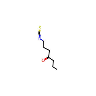 CCCC(=O)CCCN=C=S